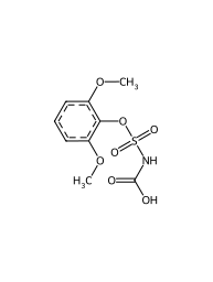 COc1cccc(OC)c1OS(=O)(=O)NC(=O)O